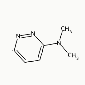 CN(C)c1cc[c]nn1